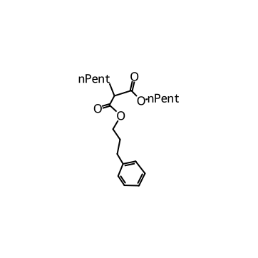 CCCCCOC(=O)C(CCCCC)C(=O)OCCCc1ccccc1